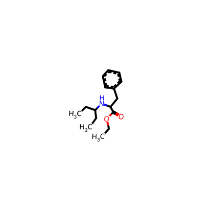 CCOC(=O)C(Cc1ccccc1)NC(CC)CC